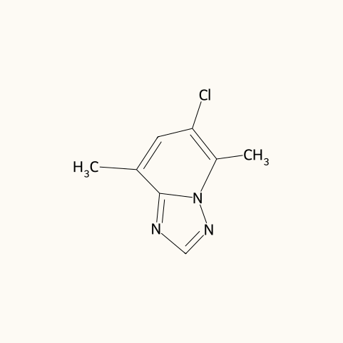 Cc1cc(Cl)c(C)n2ncnc12